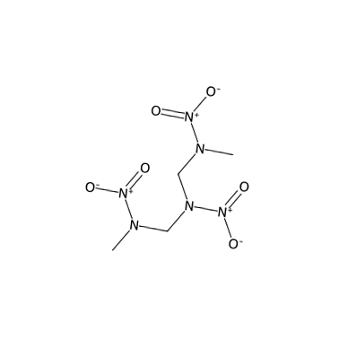 CN(CN(CN(C)[N+](=O)[O-])[N+](=O)[O-])[N+](=O)[O-]